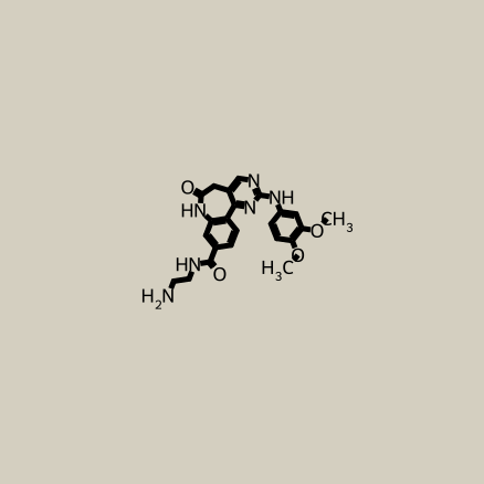 COc1ccc(Nc2ncc3c(n2)-c2ccc(C(=O)NCCN)cc2NC(=O)C3)cc1OC